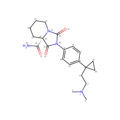 CN(C)CCC1(c2ccc(N3C(=O)N4CCC[CH][C@]4(C(N)=O)C3=O)cc2)CC1